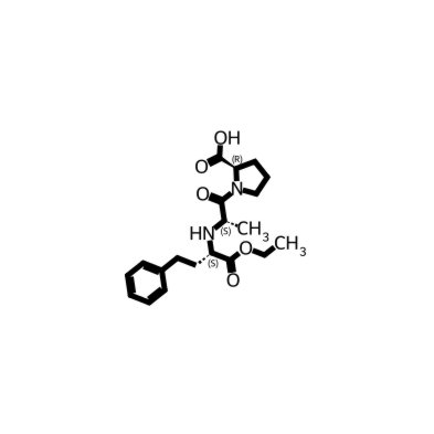 CCOC(=O)[C@H](CCc1ccccc1)N[C@@H](C)C(=O)N1CCC[C@@H]1C(=O)O